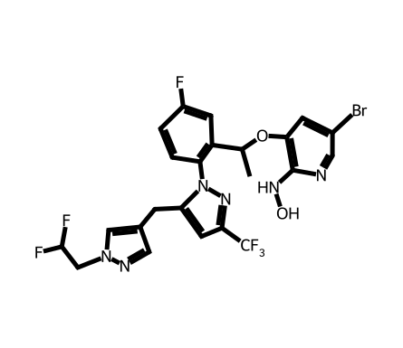 CC(Oc1cc(Br)cnc1NO)c1cc(F)ccc1-n1nc(C(F)(F)F)cc1Cc1cnn(CC(F)F)c1